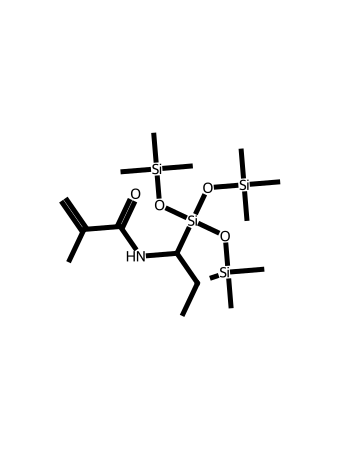 C=C(C)C(=O)NC(CC)[Si](O[Si](C)(C)C)(O[Si](C)(C)C)O[Si](C)(C)C